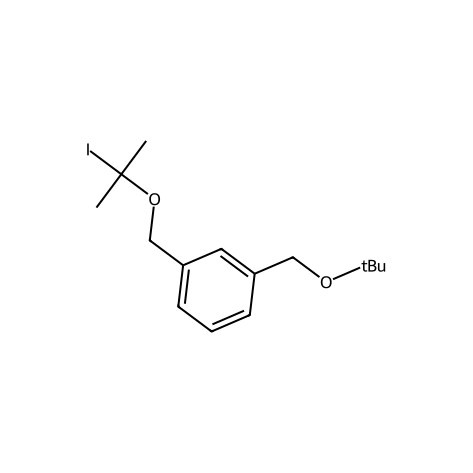 CC(C)(C)OCc1cccc(COC(C)(C)I)c1